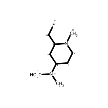 CN1CCC(N(C)C(=O)O)CC1CF